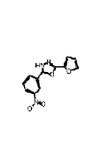 O=[N+]([O-])c1cccc(C2NN=C(c3ccco3)O2)c1